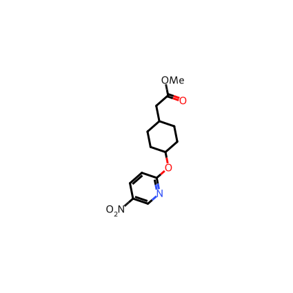 COC(=O)CC1CCC(Oc2ccc([N+](=O)[O-])cn2)CC1